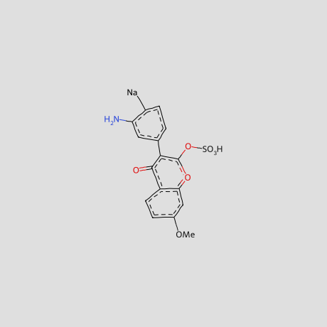 COc1ccc2c(=O)c(-c3cc[c]([Na])c(N)c3)c(OS(=O)(=O)O)oc2c1